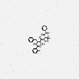 Cc1ccccc1C(=O)N[C@@H](Cc1ccccc1)[C@H](O)C(=O)N1CSC(C)(C)[C@H]1C(=O)N[C@@H]1C=CCCC1